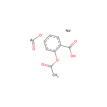 CC(=O)Oc1ccccc1C(=O)O.O=[As][O-].[Na+]